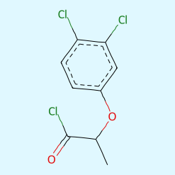 CC(Oc1ccc(Cl)c(Cl)c1)C(=O)Cl